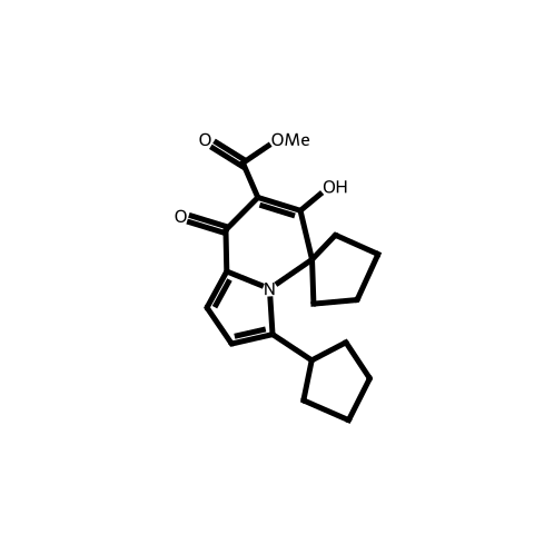 COC(=O)C1=C(O)C2(CCCC2)n2c(ccc2C2CCCC2)C1=O